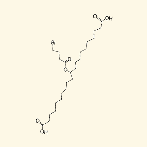 O=C(O)CCCCCCCCCC(CCCCCCCCCC(=O)O)OC(=O)CCCBr